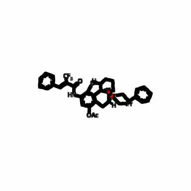 CC(=O)Oc1cc(NC(=O)C(=Cc2ccccc2)C(F)(F)F)c2c3c1C[C@@H]1[C@@H]4CCC[C@H](O2)[C@]34CC[N+]1(CCc1ccccc1)CC(C)C